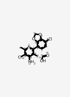 Cc1nc(-c2ccc(Cl)c3c2OCO3)c(F)c(N)c1Cl.O=CO